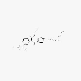 CCCCc1oc2ccc(N(S(C)(=O)=O)S(C)(=O)=O)cc2c1C(=O)c1ccc(OCCCN(C)CCCC)cc1